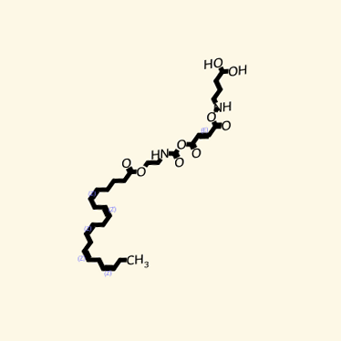 CC/C=C\C/C=C\C/C=C\C/C=C\C/C=C\CCCC(=O)OCCNC(=O)OC(=O)/C=C/C(=O)ONCCCC(O)O